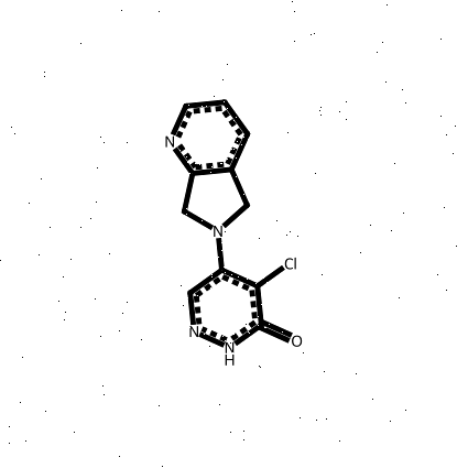 O=c1[nH]ncc(N2Cc3cccnc3C2)c1Cl